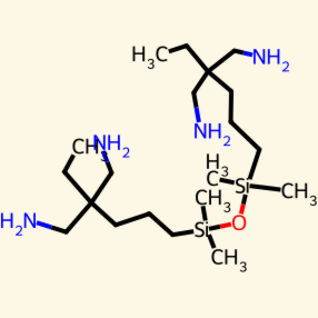 CCC(CN)(CN)CCC[Si](C)(C)O[Si](C)(C)CCCC(CC)(CN)CN